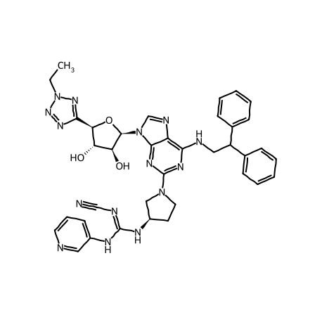 CCn1nnc([C@H]2O[C@@H](n3cnc4c(NCC(c5ccccc5)c5ccccc5)nc(N5CC[C@@H](NC(=NC#N)Nc6cccnc6)C5)nc43)[C@@H](O)[C@@H]2O)n1